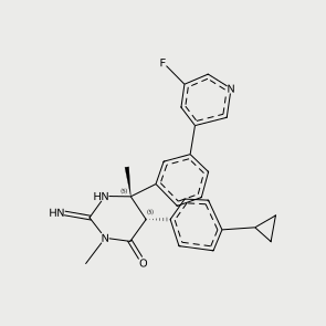 CN1C(=N)N[C@](C)(c2cccc(-c3cncc(F)c3)c2)[C@H](c2ccc(C3CC3)cc2)C1=O